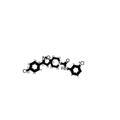 O=C(Nc1cccc(Cl)c1)N1CCC2(CC1)CC(c1ccc(Cl)cc1)=NO2